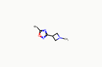 CN1CC(c2noc(C(C)(C)C)n2)C1